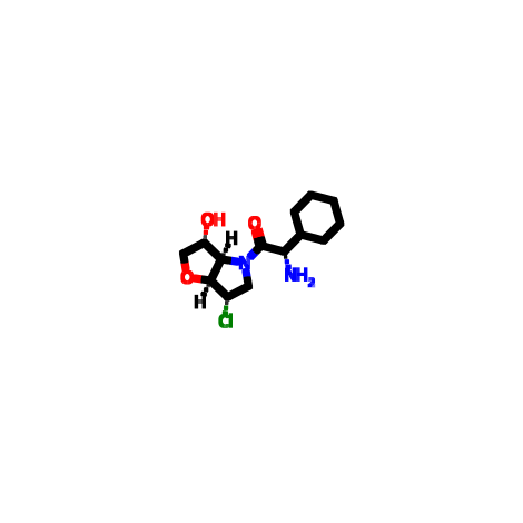 N[C@H](C(=O)N1C[C@H](Cl)[C@H]2OC[C@H](O)[C@H]21)C1CCCCC1